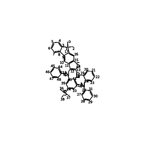 CC1(C)c2ccccc2-c2cc3c4c(sc3cc21)B1c2ccccc2N(c2ccccc2)c2cc(S(C)(C)C)cc(c21)N4c1ccccc1